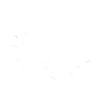 CCCS(=O)(=O)N1CCN(Cc2ccc(NC(=O)c3ccc(-c4cc(NC(=O)NC5CCCCC5)ccc4Cl)cc3)cc2)CC1